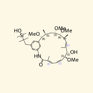 CO[C@H]1[C@@H](OC)C[C@H](C)[C@@H](OC)c2cc(CC(C)(C)[Si](C)(C)O)cc(c2)NC(=O)/C(C)=C/C=C\[C@H](OC)[C@@H](O)/C(C)=C/[C@@H]1C